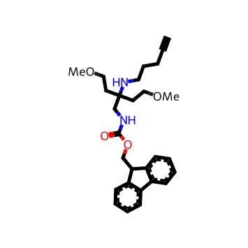 C#CCCCNC(CCOC)(CCOC)CNC(=O)OCC1c2ccccc2-c2ccccc21